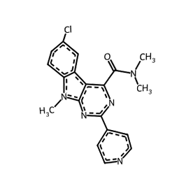 CN(C)C(=O)c1nc(-c2ccncc2)nc2c1c1cc(Cl)ccc1n2C